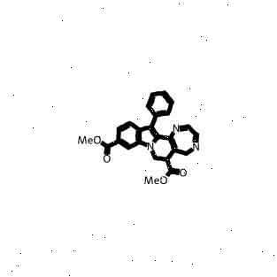 COC(=O)c1ccc2c(-c3ccccc3)c3n(c2c1)CC(C(=O)OC)C1=C3N=CC=NC1